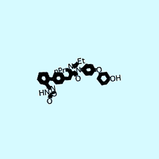 CCCc1nc(CC)n(-c2ccc(OC3CCCC(O)C3)cc2)c(=O)c1Cc1ccc(-c2ccccc2-c2noc(=O)[nH]2)cc1